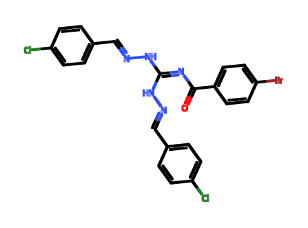 O=C(N=C(NN=Cc1ccc(Cl)cc1)NN=Cc1ccc(Cl)cc1)c1ccc(Br)cc1